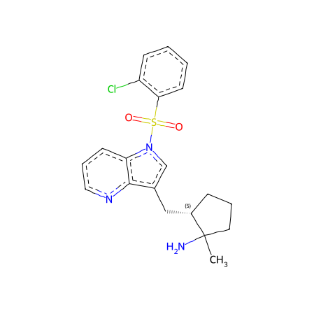 CC1(N)CCC[C@H]1Cc1cn(S(=O)(=O)c2ccccc2Cl)c2cccnc12